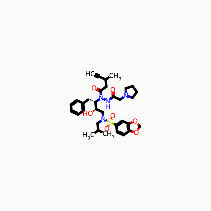 C#CC(C)CC(=O)N(NC(=O)CN1CCCC1)[C@@H](Cc1ccccc1)[C@H](O)CN(CC(C)C)S(=O)(=O)c1ccc2c(c1)OCO2